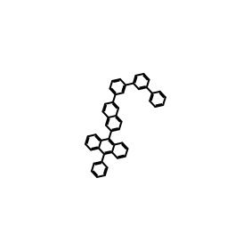 c1ccc(-c2cccc(-c3cccc(-c4ccc5cc(-c6c7ccccc7c(-c7ccccc7)c7ccccc67)ccc5c4)c3)c2)cc1